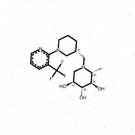 C[C@@H]1[C@@H](O)[C@H](O)[C@@H](O)CN1C[C@H]1CCCN(c2ncccc2C(F)(F)F)C1